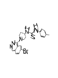 Cc1ccc(NC(=S)NC2CCN(c3nncc4ccc(Br)cc34)CC2)cc1